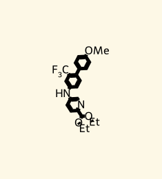 CCOC(OCC)c1ccc(Nc2ccc(-c3ccc(OC)cc3)c(C(F)(F)F)c2)cn1